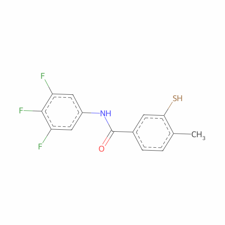 Cc1ccc(C(=O)Nc2cc(F)c(F)c(F)c2)cc1S